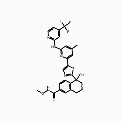 CONC(=O)c1ccc2c(c1)CCCC2(O)c1ncc(-c2cc(C)cc(Nc3cc(C(F)(F)F)ccn3)n2)s1